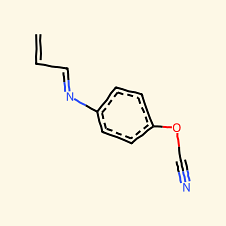 C=CC=Nc1ccc(OC#N)cc1